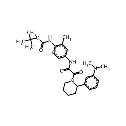 Cc1cc(NC(=O)C(=O)N2CCCCC2c2cccc(N(C)C)c2)cnc1NC(=O)OC(C)(C)C